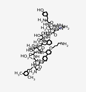 CCc1cc(OCCCCN)ccc1-c1ccc(C[C@H](NC(=O)[C@H](CC(=O)O)NC(=O)[C@H](CO)NC(=O)[C@@H](NC(=O)[C@](C)(Cc2ccccc2F)NC(=O)[C@@H](NC(=O)CNC(=O)[C@H](C/C(=N/N)NN)NC(=O)C(C)(C)NC(=O)[C@@H](N)Cc2ccc(O)cc2)[C@@H](C)O)[C@@H](C)O)C(=O)N[C@@H](CCCc2cc(C)cc(C)c2)C(N)=O)cc1